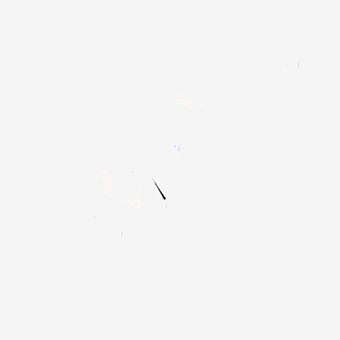 Cc1ccc(C(=O)C[N+]23CCC(CC2)[C@@H](OC(=O)C(C)(C)c2ccccc2)C3)cc1